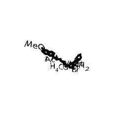 C.CCN(Cc1cc(C(=O)NCCCCCCN(C(C)=O)c2ccc3cc(OC)ccc3c2)cc(Br)c1N)C1CCCCC1